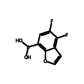 OB(O)c1cc(F)c(F)c2ccoc12